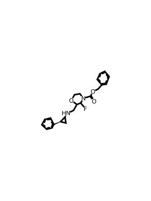 O=C(OCc1ccccc1)N1CCOC(CN[C@@H]2C[C@H]2c2ccccc2)C1F